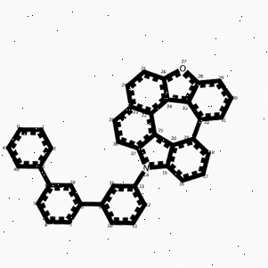 c1ccc(-c2cccc(-c3cccc(-n4c5cccc6c5c5c7c(ccc8oc9cccc-6c9c87)ccc54)c3)c2)cc1